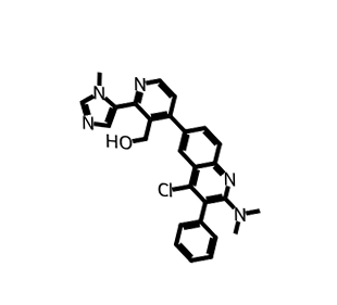 CN(C)c1nc2ccc(-c3ccnc(-c4cncn4C)c3CO)cc2c(Cl)c1-c1ccccc1